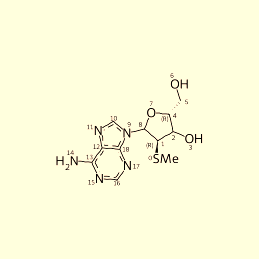 CS[C@@H]1C(O)[C@@H](CO)OC1n1cnc2c(N)ncnc21